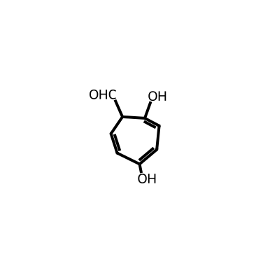 O=CC1C=CC(O)=CC=C1O